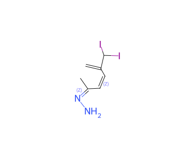 C=C(/C=C\C(C)=N/N)C(I)I